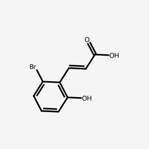 O=C(O)/C=C/c1c(O)cccc1Br